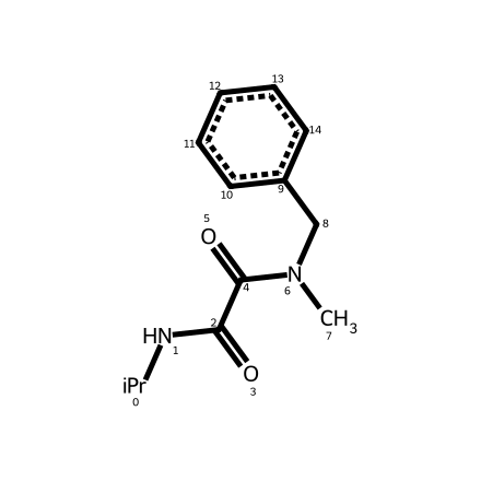 CC(C)NC(=O)C(=O)N(C)Cc1ccccc1